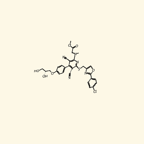 COC(=O)CN(C)c1nc(SCc2coc(-c3ccc(Cl)cc3)n2)c(C#N)c(-c2ccc(OC[C@H](O)CO)cc2)c1C#N